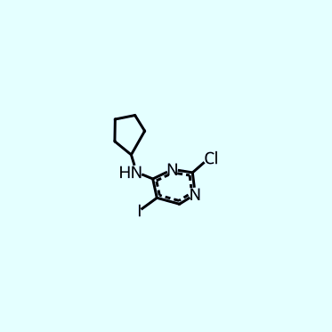 Clc1ncc(I)c(NC2CCCC2)n1